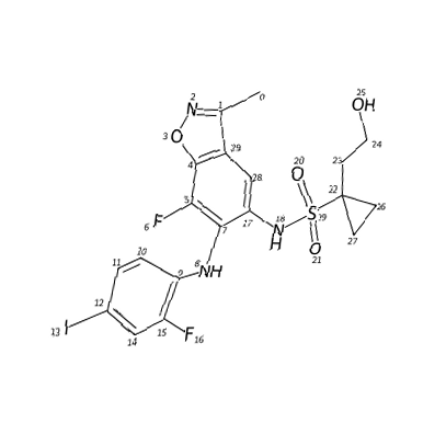 Cc1noc2c(F)c(Nc3ccc(I)cc3F)c(NS(=O)(=O)C3(CCO)CC3)cc12